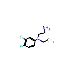 CCN(CCN)c1ccc(F)c(F)c1